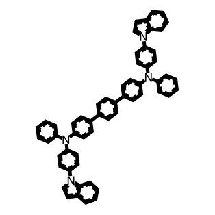 c1ccc(N(c2ccc(-c3ccc(-c4ccc(N(c5ccccc5)c5ccc(-n6ccc7ccccc76)cc5)cc4)cc3)cc2)c2ccc(-n3ccc4ccccc43)cc2)cc1